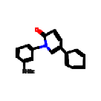 CC(=O)Nc1cccc(-n2cc(-c3ccccc3)ccc2=O)c1